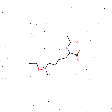 CCOP(C)CCCCC(NC(C)=O)C(=O)O